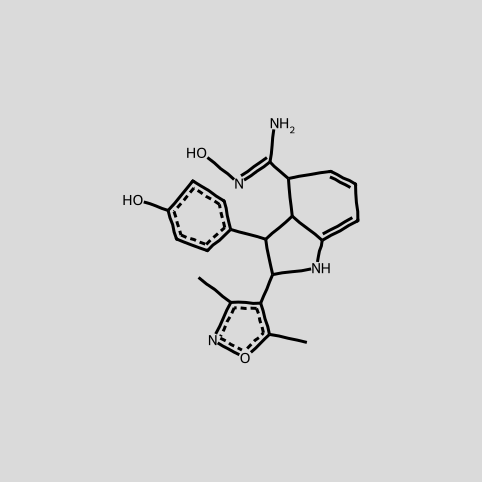 Cc1noc(C)c1C1NC2=CC=CC(C(N)=NO)C2C1c1ccc(O)cc1